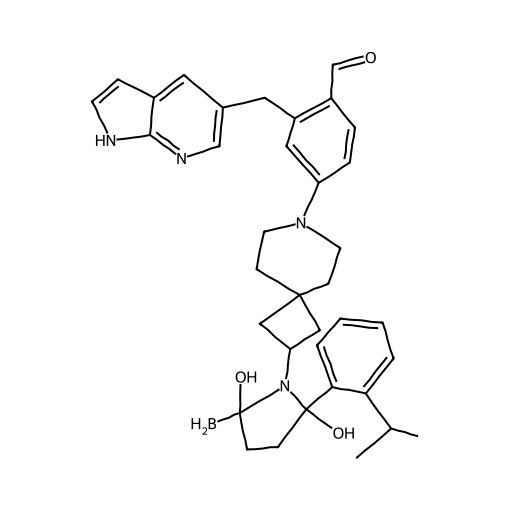 BC1(O)CCC(O)(c2ccccc2C(C)C)N1C1CC2(CCN(c3ccc(C=O)c(Cc4cnc5[nH]ccc5c4)c3)CC2)C1